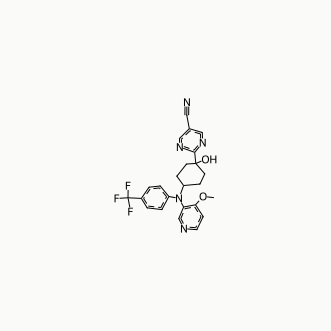 COc1ccncc1N(c1ccc(C(F)(F)F)cc1)C1CCC(O)(c2ncc(C#N)cn2)CC1